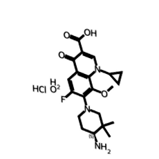 COc1c(N2CC[C@H](N)C(C)(C)C2)c(F)cc2c(=O)c(C(=O)O)cn(C3CC3)c12.Cl.O